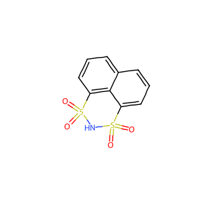 O=S1(=O)NS(=O)(=O)c2cccc3cccc1c23